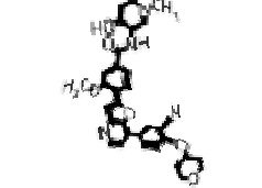 COc1cc(C(=O)NC2CN(C)CCC2O)ccc1-c1cc2nccc(-c3ccc(OC4CCOCC4)c(C#N)c3)c2o1